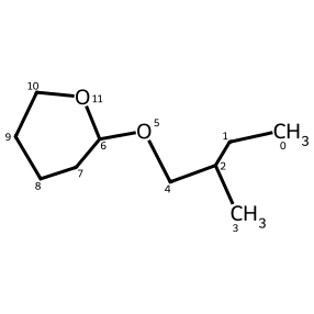 CCC(C)COC1CCCCO1